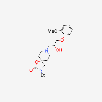 CCN1CC2(CCN(CC(O)COc3ccccc3OC)CC2)OC1=O